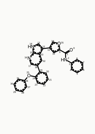 O=C(Nc1ccccc1)c1cc(-c2c[nH]c3ncc(-c4ccccc4Oc4ccccc4)cc23)co1